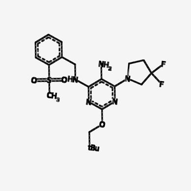 CC(C)(C)COc1nc(NCc2ccccc2S(C)(=O)=O)c(N)c(N2CCC(F)(F)C2)n1